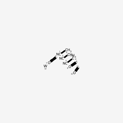 CC#N.CC#N.CC#N.[C]=O.[C]=O.[C]=O.[W]